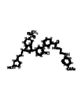 COc1ccc(NCCNC(=O)c2cccc(-c3cc(-c4nn(CCCN5CCC(O)C5)c5c4CN(S(C)(=O)=O)CC5)ccc3Cl)c2)cc1